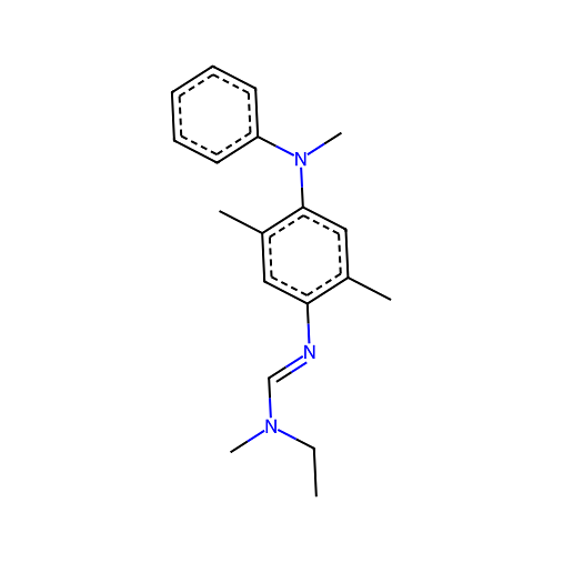 CCN(C)C=Nc1cc(C)c(N(C)c2ccccc2)cc1C